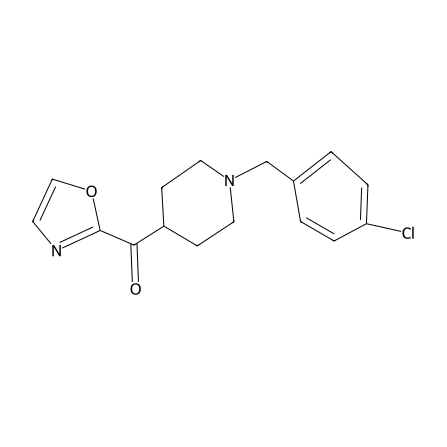 O=C(c1ncco1)C1CCN(Cc2ccc(Cl)cc2)CC1